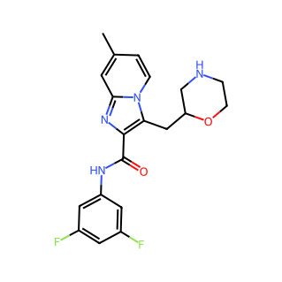 Cc1ccn2c(CC3CNCCO3)c(C(=O)Nc3cc(F)cc(F)c3)nc2c1